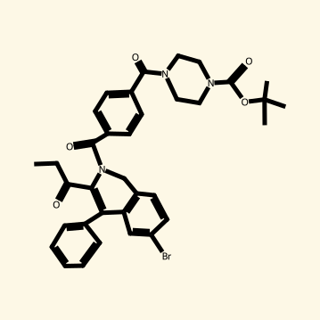 CCC(=O)C1=C(c2ccccc2)c2cc(Br)ccc2CN1C(=O)c1ccc(C(=O)N2CCN(C(=O)OC(C)(C)C)CC2)cc1